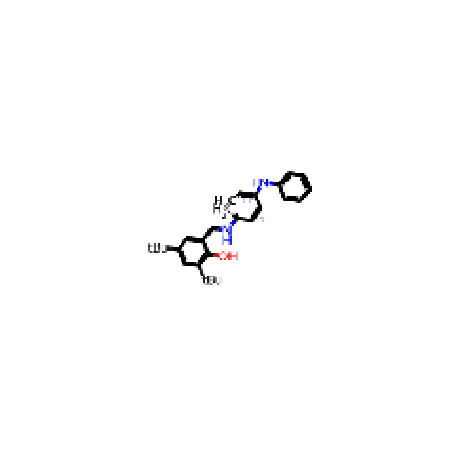 C=C(/C=C\C(=C/C)Nc1ccccc1)NCc1cc(C(C)(C)C)cc(C(C)(C)C)c1O